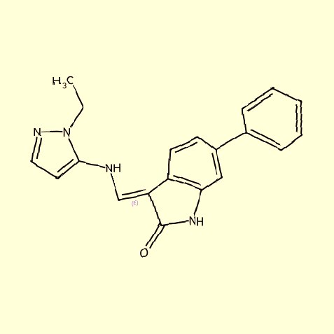 CCn1nccc1N/C=C1/C(=O)Nc2cc(-c3ccccc3)ccc21